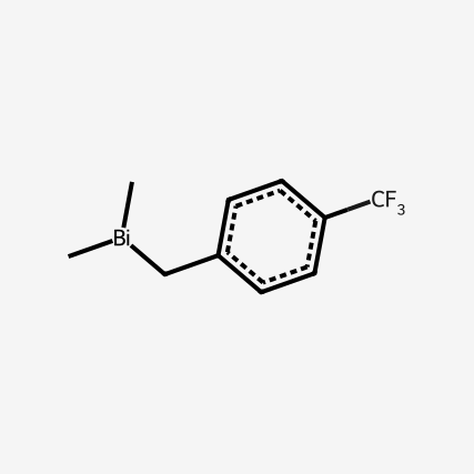 [CH3][Bi]([CH3])[CH2]c1ccc(C(F)(F)F)cc1